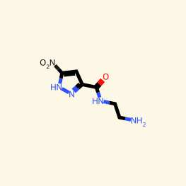 NCCNC(=O)c1cc([N+](=O)[O-])[nH]n1